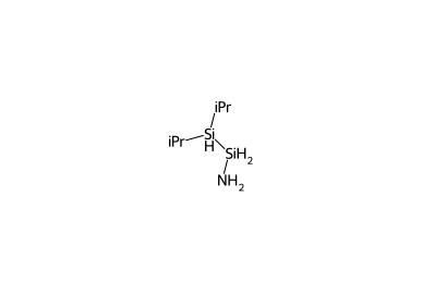 CC(C)[SiH]([SiH2]N)C(C)C